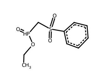 CCO[PH](=O)CS(=O)(=O)c1ccccc1